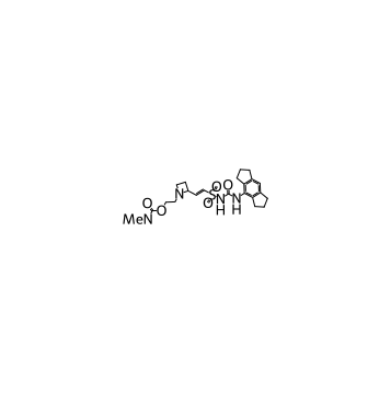 CNC(=O)OCCN1CCC1/C=C/S(=O)(=O)NC(=O)Nc1c2c(cc3c1CCC3)CCC2